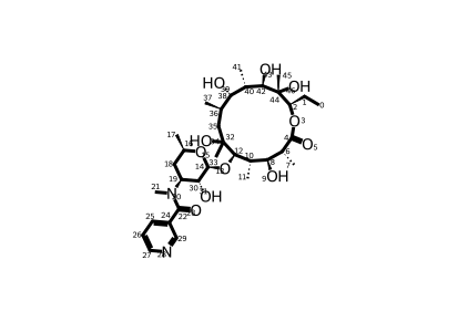 CC[C@H]1OC(=O)[C@H](C)[C@@H](O)[C@H](C)[C@@H](O[C@@H]2O[C@H](C)C[C@H](N(C)C(=O)c3cccnc3)[C@H]2O)C(C)(O)C[C@@H](C)[C@H](O)[C@H](C)[C@@H](O)[C@]1(C)O